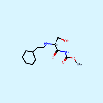 CC(C)(C)OC(=O)NC(=O)[C@H](CO)NCCC1CCCCC1